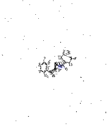 C/C(=N\[C@H](C)c1ccccc1)C1CCCC1